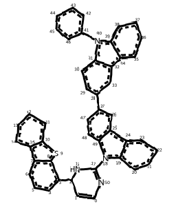 C1=CC(c2cccc3c2sc2ccccc23)NC(n2c3ccccc3c3cc(-c4ccc5c(c4)c4ccccc4n5-c4ccccc4)ccc32)=N1